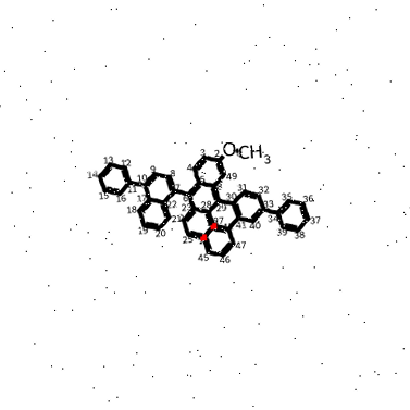 COc1ccc2c(-c3ccc(-c4ccccc4)c4ccccc34)c3ccccc3c(-c3ccc(-c4ccccc4)cc3-c3ccccc3)c2c1